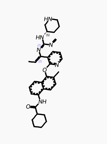 C=N/C(=N\C(=C/C)c1cccnc1Oc1c(C)ccc2c(NC(=O)C3CCCCC3)cccc12)N[C@H]1CCCNC1